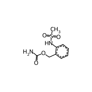 CS(=O)(=O)Nc1ccccc1COC(N)=O